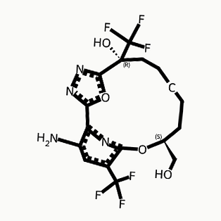 Nc1cc(C(F)(F)F)c2nc1-c1nnc(o1)[C@@](O)(C(F)(F)F)CCCCC[C@@H](CO)O2